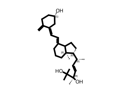 C=C1CC[C@H](O)CC1=CC=C1CCC[C@@]2(C)C1CC[C@@H]2[C@H](C)C=C[C@@](C)(O)C(C)(C)O